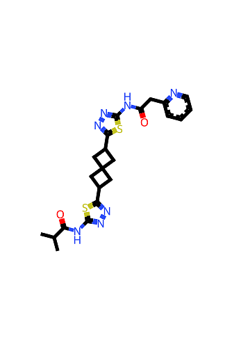 CC(C)C(=O)Nc1nnc(C2CC3(CC(c4nnc(NC(=O)Cc5ccccn5)s4)C3)C2)s1